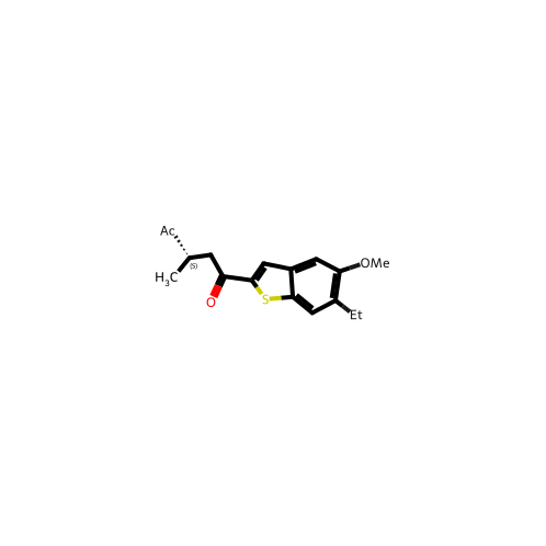 CCc1cc2sc(C(=O)C[C@H](C)C(C)=O)cc2cc1OC